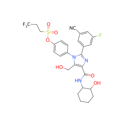 N#Cc1cc(F)cc(-c2nc(C(=O)NC3CCCCC3O)c(CO)n2-c2ccc(OS(=O)(=O)CCC(F)(F)F)cc2)c1